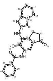 O=C(Nc1cc2c(n(Nc3cn4ncccc4n3)c1=O)CCC2=O)c1ccccc1